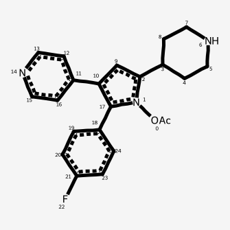 CC(=O)On1c(C2CCNCC2)cc(-c2ccncc2)c1-c1ccc(F)cc1